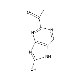 CC(=O)c1ncc2[nH]c(O)nc2n1